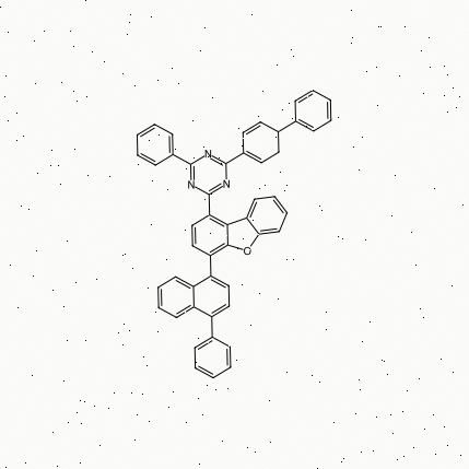 C1=CC(c2ccccc2)CC=C1c1nc(-c2ccccc2)nc(-c2ccc(-c3ccc(-c4ccccc4)c4ccccc34)c3oc4ccccc4c23)n1